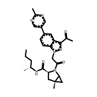 CCC[C@@H](C)NC(=O)[C@@H]1C[C@@]2(C)CC2N1C(=O)Cn1nc(C(C)=O)c2cc(-c3cnc(C)nc3)ccc21